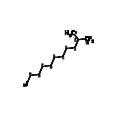 CC(CCCCCCCCI)C(F)(F)F